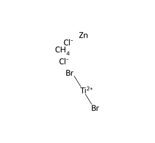 C.[Br][Ti+2][Br].[Cl-].[Cl-].[Zn]